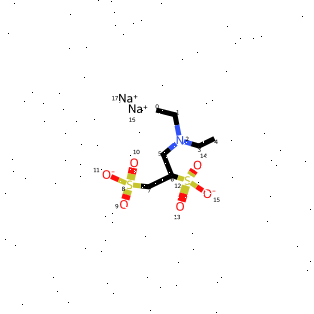 CCN(CC)CC(CS(=O)(=O)[O-])S(=O)(=O)[O-].[Na+].[Na+]